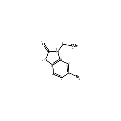 CSCn1c(=O)oc2ccc(Br)cc21